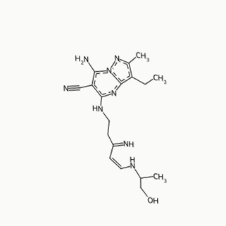 CCc1c(C)nn2c(N)c(C#N)c(NCCC(=N)/C=C\NC(C)CO)nc12